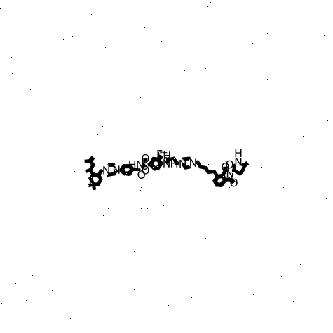 C=C(C)CC(C)C1=C(CN2CCN(c3ccc(C(=O)NS(=O)(=O)c4ccc(NC(CC)CCN5CCN(CCCCCc6cccc7c6C(=O)N(C6CCC(=C)NC6=O)C7=O)CC5)c(S)c4)cc3)CC2)CCC(C)(C)C1